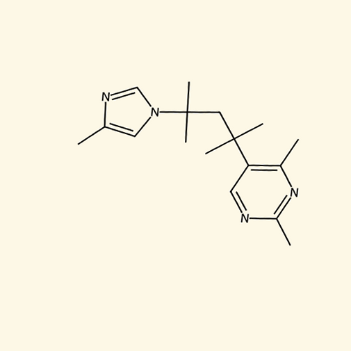 Cc1cn(C(C)(C)CC(C)(C)c2cnc(C)nc2C)cn1